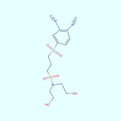 [C-]#[N+]c1ccc(S(=O)(=O)CCCS(=O)(=O)N(CCO)CCO)cc1[N+]#[C-]